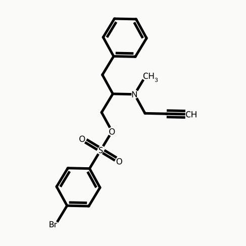 C#CCN(C)C(COS(=O)(=O)c1ccc(Br)cc1)Cc1ccccc1